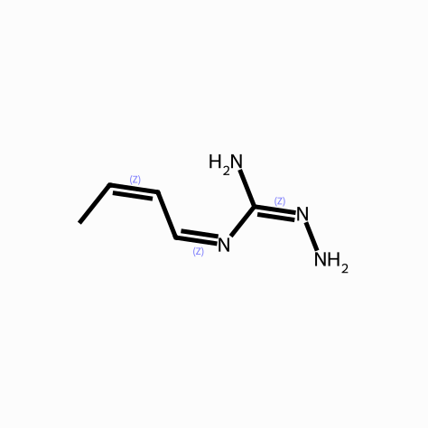 C\C=C/C=N\C(N)=N/N